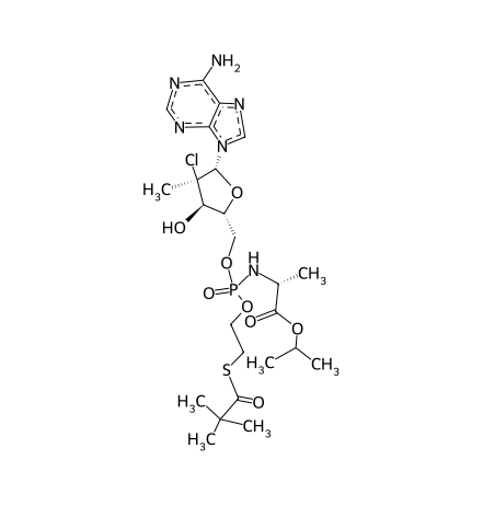 CC(C)OC(=O)[C@@H](C)NP(=O)(OCCSC(=O)C(C)(C)C)OC[C@H]1O[C@@H](n2cnc3c(N)ncnc32)[C@](C)(Cl)[C@@H]1O